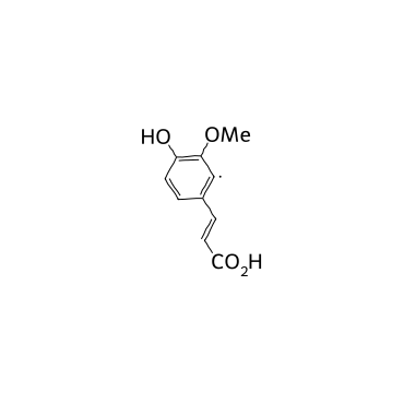 COc1[c]c(C=CC(=O)O)ccc1O